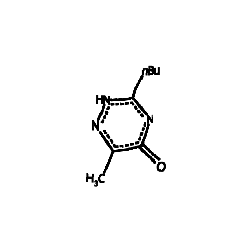 CCCCc1nc(=O)c(C)n[nH]1